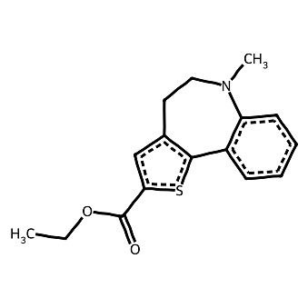 CCOC(=O)c1cc2c(s1)-c1ccccc1N(C)CC2